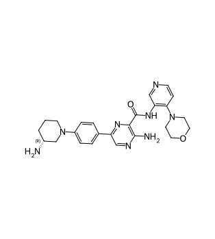 Nc1ncc(-c2ccc(N3CCC[C@@H](N)C3)cc2)nc1C(=O)Nc1cnccc1N1CCOCC1